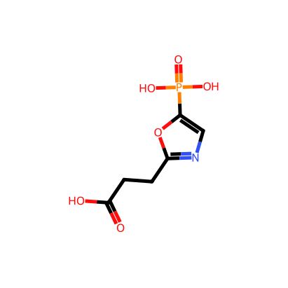 O=C(O)CCc1ncc(P(=O)(O)O)o1